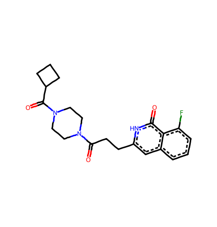 O=C(CCc1cc2cccc(F)c2c(=O)[nH]1)N1CCN(C(=O)C2CCC2)CC1